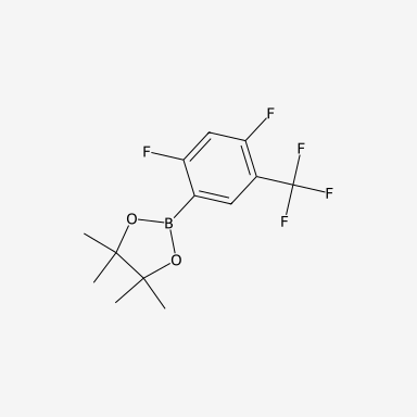 CC1(C)OB(c2cc(C(F)(F)F)c(F)cc2F)OC1(C)C